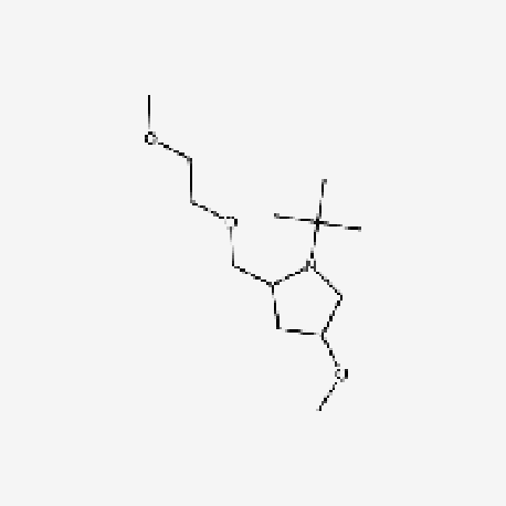 COCCOCC1CC(OC)CN1C(C)(C)C